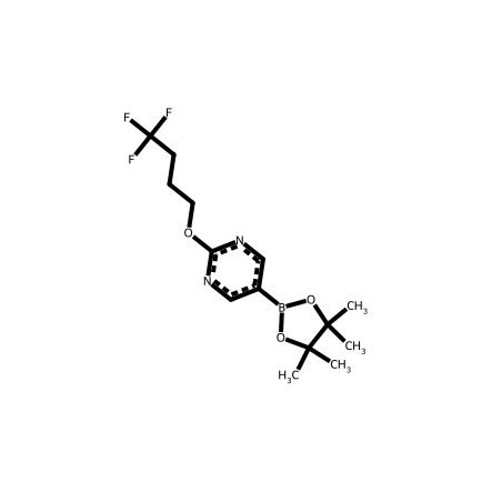 CC1(C)OB(c2cnc(OCCCC(F)(F)F)nc2)OC1(C)C